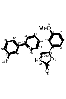 COc1cccc([C@H]2OC(=O)N[C@@H]2c2cccc(-c3cccc(F)c3)n2)c1